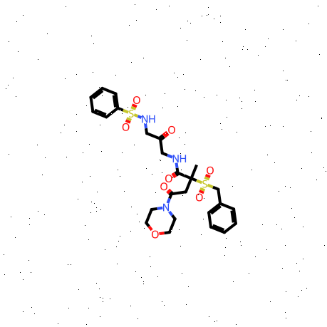 CC(CC(=O)N1CCOCC1)(C(=O)NCC(=O)CNS(=O)(=O)c1ccccc1)S(=O)(=O)Cc1ccccc1